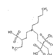 CCCCCP(CCC(CC)S(=O)(=O)O)CCC(CC)(S(=O)(=O)O)S(=O)(=O)O